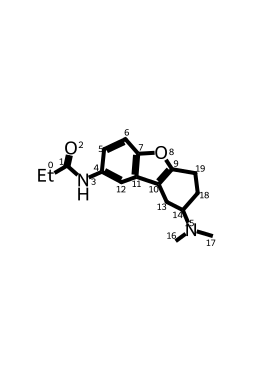 CCC(=O)Nc1ccc2oc3c(c2c1)CC(N(C)C)CC3